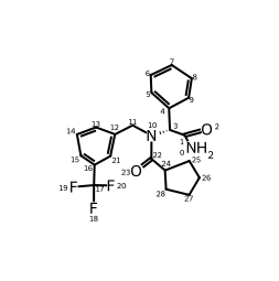 NC(=O)[C@@H](c1ccccc1)N(Cc1cccc(C(F)(F)F)c1)C(=O)C1CCCC1